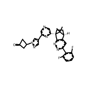 CC1(C)[C@H]2CC[C@]1(c1cncc(-c3cnn(C4CC(=O)C4)c3)n1)c1nnc(-c3c(F)cccc3F)cc12